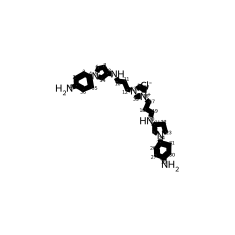 Nc1ccc(N2CCC(NCCCn3cc[n+](CCCNC4CCN(c5ccc(N)cc5)C4)c3)C2)cc1.[Cl-]